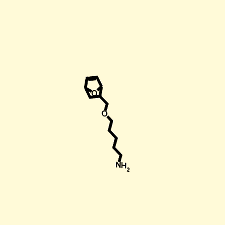 NCCCCCOCC1CC2C=CC1O2